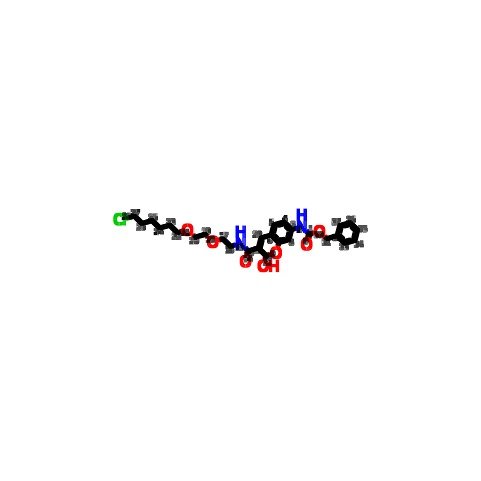 O=C(Nc1ccc2c(c1)OC(O)C(C(=O)NCCOCCOCCCCCCCl)=C2)OCc1ccccc1